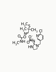 CNC(=O)O/N=C/C(C)(C)SC.O=[N+]([O-])/N=C1\NCCN1Cc1ccc(Cl)nc1